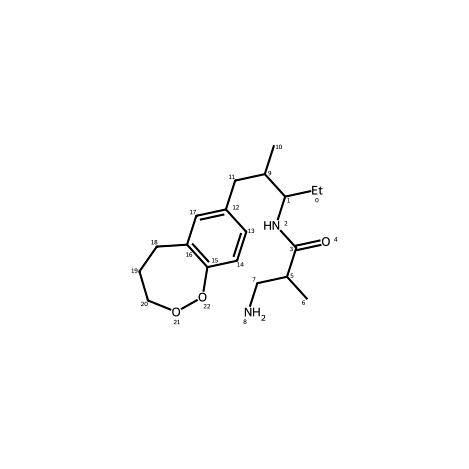 CCC(NC(=O)C(C)CN)C(C)Cc1ccc2c(c1)CCCOO2